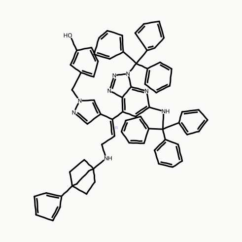 Oc1cccc(Cn2cc(/C(=C\CNC34CCC(c5ccccc5)(CC3)CC4)c3cc(NC(c4ccccc4)(c4ccccc4)c4ccccc4)nc4c3nnn4C(c3ccccc3)(c3ccccc3)c3ccccc3)cn2)c1